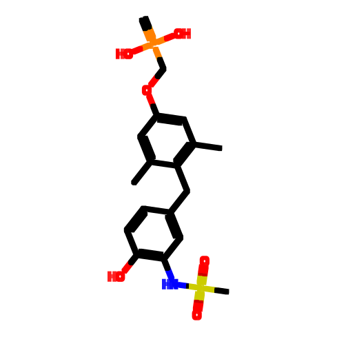 C=P(O)(O)COc1cc(C)c(Cc2ccc(O)c(NS(C)(=O)=O)c2)c(C)c1